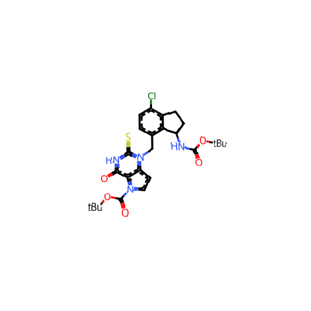 CC(C)(C)OC(=O)NC1CCc2c(Cl)ccc(Cn3c(=S)[nH]c(=O)c4c3ccn4C(=O)OC(C)(C)C)c21